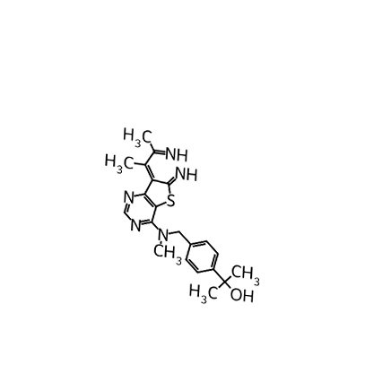 CC(=N)/C(C)=C1\C(=N)Sc2c1ncnc2N(C)Cc1ccc(C(C)(C)O)cc1